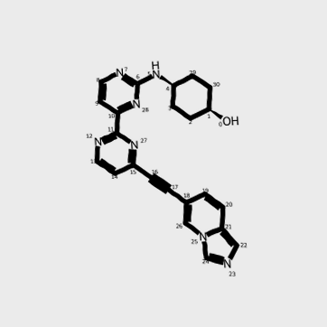 O[C@H]1CC[C@@H](Nc2nccc(-c3nccc(C#Cc4ccc5cncn5c4)n3)n2)CC1